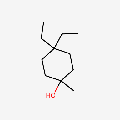 CCC1(CC)CCC(C)(O)CC1